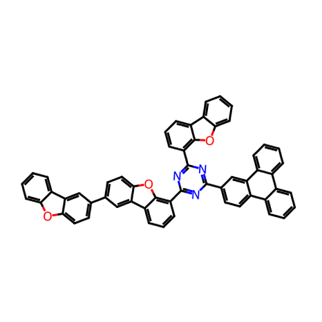 c1ccc2c(c1)oc1ccc(-c3ccc4oc5c(-c6nc(-c7ccc8c9ccccc9c9ccccc9c8c7)nc(-c7cccc8c7oc7ccccc78)n6)cccc5c4c3)cc12